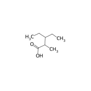 CCC(CC)C(C)C(=O)O